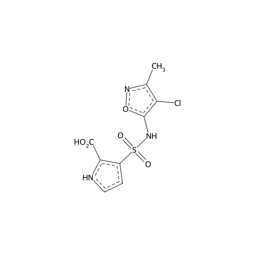 Cc1noc(NS(=O)(=O)c2cc[nH]c2C(=O)O)c1Cl